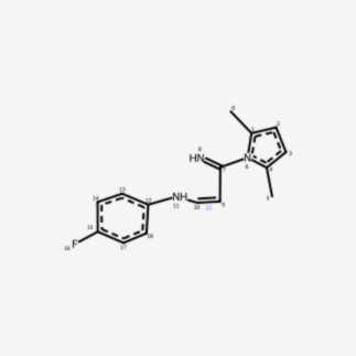 Cc1ccc(C)n1C(=N)/C=C\Nc1ccc(F)cc1